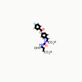 O=C[C@H](CCC(=O)O)NC(=O)N[C@@H](Cc1ccc(OC(=O)c2ccc(F)cc2)cc1)C(=O)O